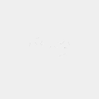 COC(=O)c1ccc(C[C@@]2(C)O[C@H](C)[C@@H](c3ccc(Cl)cc3)N(C(CS(=O)(=O)C(C)(C)C)C3CC3)C2=O)nc1